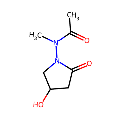 CC(=O)N(C)N1CC(O)CC1=O